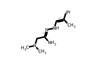 C/C(=C\N/N=C(\N)CN(C)C)C(C)C